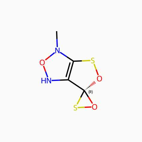 CN1ONC2=C1SO[C@@]21OS1